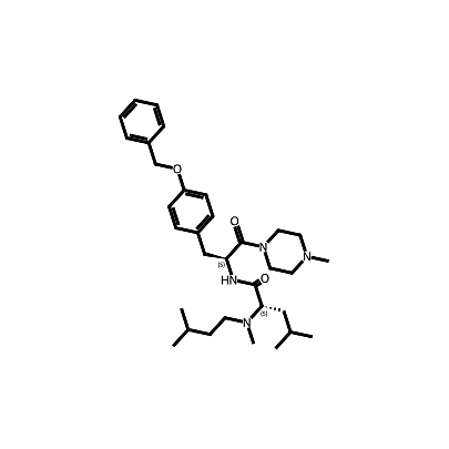 CC(C)CCN(C)[C@@H](CC(C)C)C(=O)N[C@@H](Cc1ccc(OCc2ccccc2)cc1)C(=O)N1CCN(C)CC1